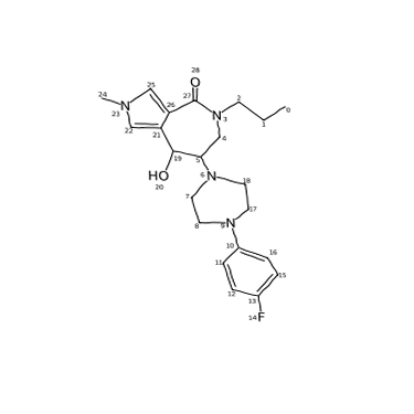 CCCN1CC(N2CCN(c3ccc(F)cc3)CC2)C(O)c2cn(C)cc2C1=O